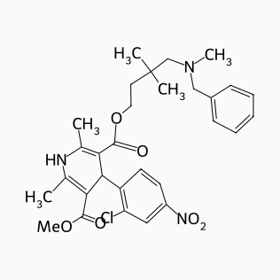 COC(=O)C1=C(C)NC(C)=C(C(=O)OCCC(C)(C)CN(C)Cc2ccccc2)C1c1ccc([N+](=O)[O-])cc1Cl